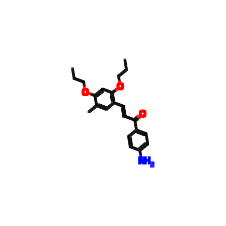 CCCOc1cc(OCCC)c(C=CC(=O)c2ccc(N)cc2)cc1C